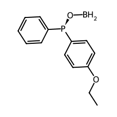 BO[P@](c1ccccc1)c1ccc(OCC)cc1